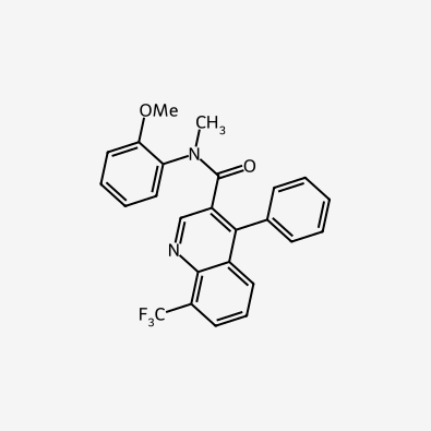 COc1ccccc1N(C)C(=O)c1cnc2c(C(F)(F)F)cccc2c1-c1ccccc1